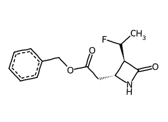 CC(F)[C@H]1C(=O)N[C@@H]1CC(=O)OCc1ccccc1